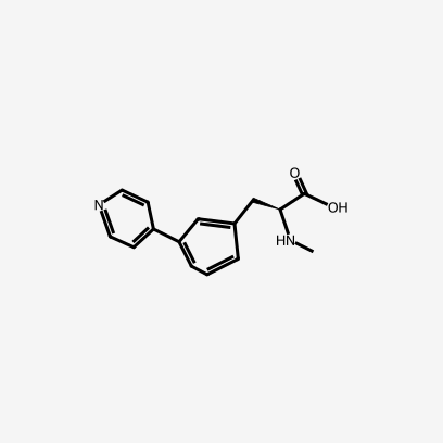 CN[C@@H](Cc1cccc(-c2ccncc2)c1)C(=O)O